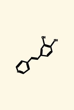 Oc1ccc(/C=C/c2ccncc2)cc1O